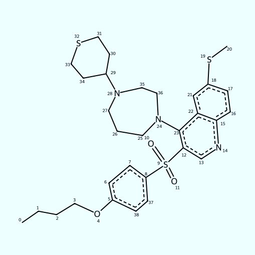 CCCCOc1ccc(S(=O)(=O)c2cnc3ccc(SC)cc3c2N2CCCN(C3CCSCC3)CC2)cc1